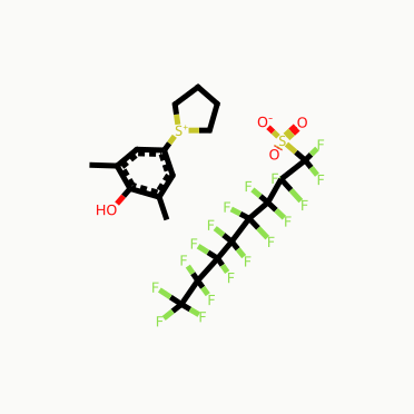 Cc1cc([S+]2CCCC2)cc(C)c1O.O=S(=O)([O-])C(F)(F)C(F)(F)C(F)(F)C(F)(F)C(F)(F)C(F)(F)C(F)(F)C(F)(F)F